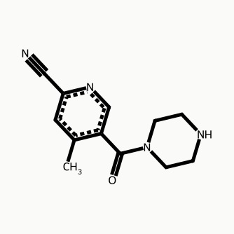 Cc1cc(C#N)ncc1C(=O)N1CCNCC1